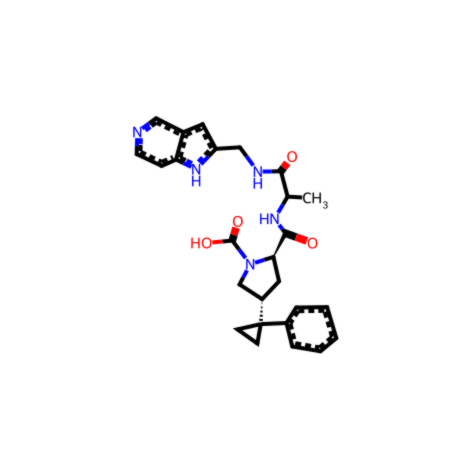 CC(NC(=O)[C@H]1C[C@H](C2(c3ccccc3)CC2)CN1C(=O)O)C(=O)NCc1cc2cnccc2[nH]1